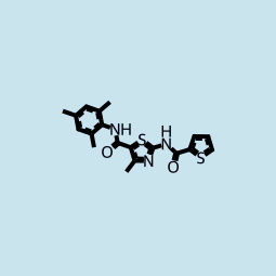 Cc1cc(C)c(NC(=O)c2sc(NC(=O)c3cccs3)nc2C)c(C)c1